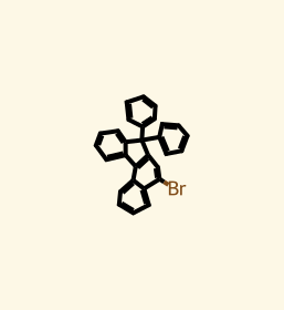 Brc1cc2c(c3ccccc13)-c1ccccc1C2(c1ccccc1)c1ccccc1